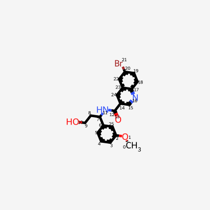 COc1cccc(C(CCO)NC(=O)c2cnc3ccc(Br)cc3c2)c1